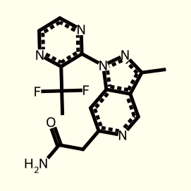 Cc1nn(-c2nccnc2C(C)(F)F)c2cc(CC(N)=O)ncc12